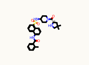 Cc1ccccc1C(=O)Nc1cccc2c(S(=O)(=O)NC3CCN(C(=O)[C@@H]4CC(C)(C)CN4)CC3)cccc12